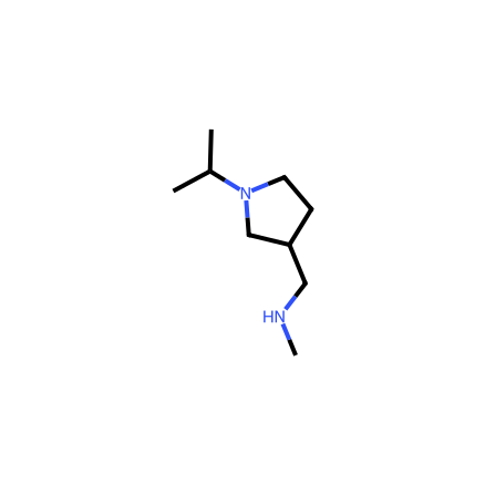 CNCC1CCN(C(C)C)C1